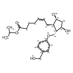 CC(C)OC(=O)CCC/C=C\C[C@@H]1[C@@H](COc2ccc(CO)cc2)[C@H](O)C[C@@H]1Cl